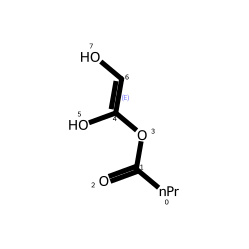 CCCC(=O)O/C(O)=C/O